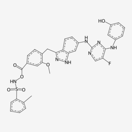 COc1cc(C(=O)ONS(=O)(=O)c2ccccc2C)ccc1Cc1n[nH]c2cc(Nc3ncc(F)c(Nc4cccc(O)c4)n3)ccc12